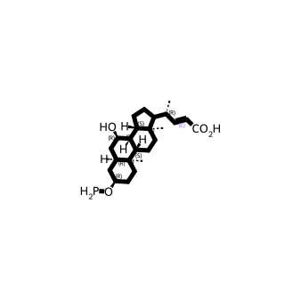 C[C@H](/C=C/C(=O)O)C1CC[C@H]2[C@@H]3[C@H](O)C[C@@H]4C[C@H](OP)CC[C@]4(C)[C@H]3CC[C@]12C